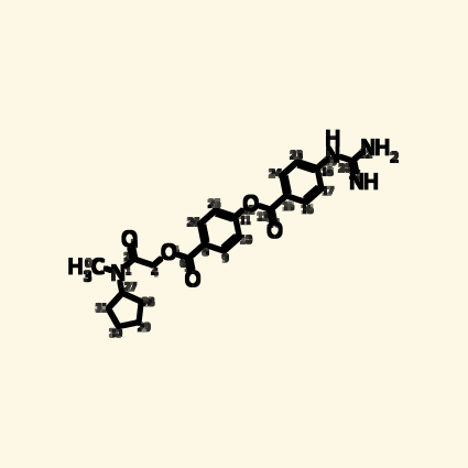 CN(C(=O)COC(=O)c1ccc(OC(=O)c2ccc(NC(=N)N)cc2)cc1)C1CCCC1